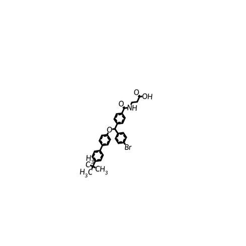 CC(C)(C)c1ccc(-c2ccc(OC(c3ccc(Br)cc3)c3ccc(C(=O)NCCC(=O)O)cc3)cc2)cc1